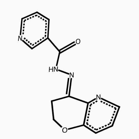 O=C(N/N=C1\CCOc2cccnc21)c1cccnc1